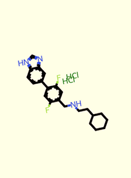 Cl.Cl.Fc1cc(-c2ccc3[nH]cnc3c2)c(F)cc1CNCCC1CCCCC1